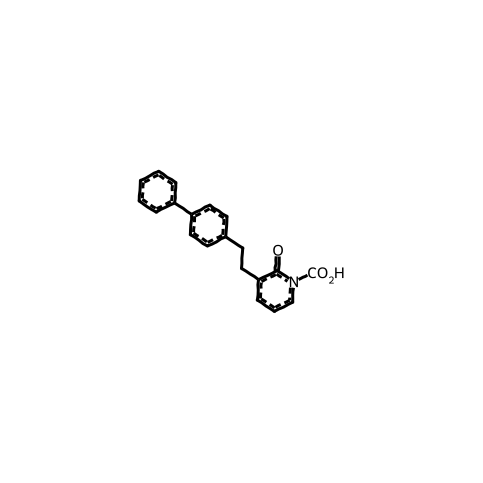 O=C(O)n1cccc(CCc2ccc(-c3ccccc3)cc2)c1=O